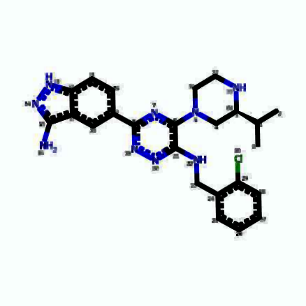 CC(C)[C@H]1CN(c2nc(-c3ccc4[nH]nc(N)c4c3)nnc2NCc2ccccc2Cl)CCN1